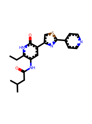 CCc1[nH]c(=O)c(-c2csc(-c3ccncc3)n2)cc1NC(=O)CC(C)C